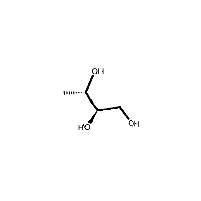 C[C@H](O)[C@H](O)CO